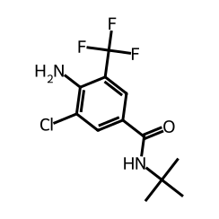 CC(C)(C)NC(=O)c1cc(Cl)c(N)c(C(F)(F)F)c1